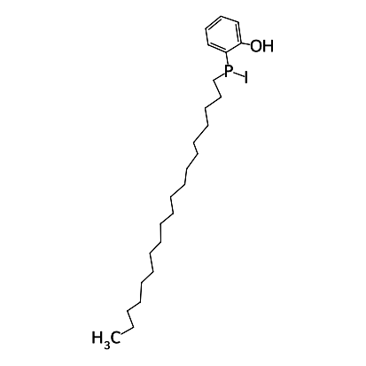 CCCCCCCCCCCCCCCCCCCP(I)c1ccccc1O